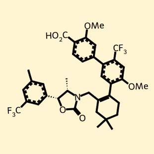 COc1cc(-c2cc(C3=C(CN4C(=O)O[C@H](c5cc(C)cc(C(F)(F)F)c5)[C@@H]4C)CC(C)(C)CC3)c(OC)cc2C(F)(F)F)ccc1C(=O)O